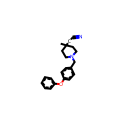 CC1(CC#N)CCN(Cc2ccc(Oc3ccccc3)cc2)CC1